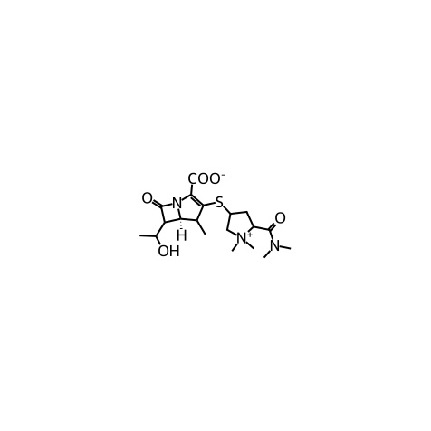 CC(O)C1C(=O)N2C(C(=O)[O-])=C(SC3CC(C(=O)N(C)C)[N+](C)(C)C3)C(C)[C@@H]12